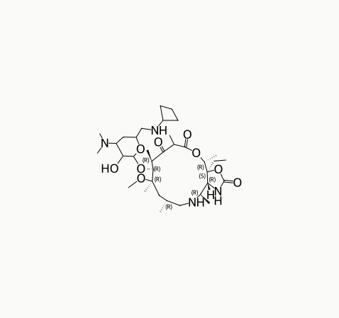 CC[C@]12OC(=O)N[C@@H]1[C@@H](C)NC[C@H](C)C[C@@](C)(OC)[C@H](OC1OC(CNC3CCC3)CC(N(C)C)C1O)[C@@H](C)C(=O)C(C)C(=O)O[C@@H]2C